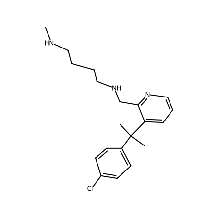 CNCCCCNCc1ncccc1C(C)(C)c1ccc(Cl)cc1